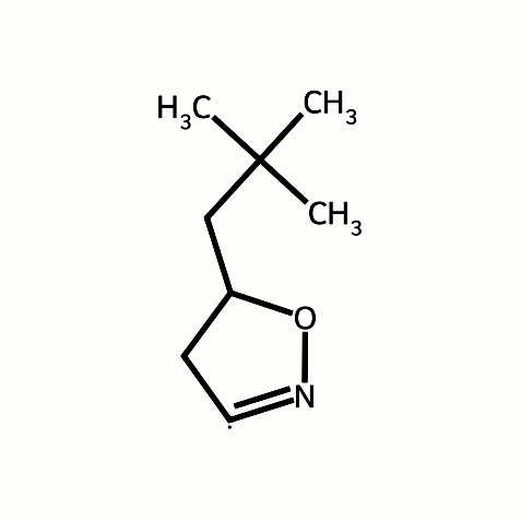 CC(C)(C)CC1C[C]=NO1